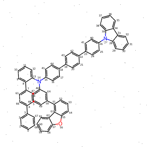 c1ccc(-c2ccc(-c3ccccc3N(c3ccc(-c4ccc(-c5ccc(-n6c7ccccc7c7ccccc76)cc5)cc4)cc3)c3cccc(-c4cccc5oc6ccccc6c45)c3)cc2)cc1